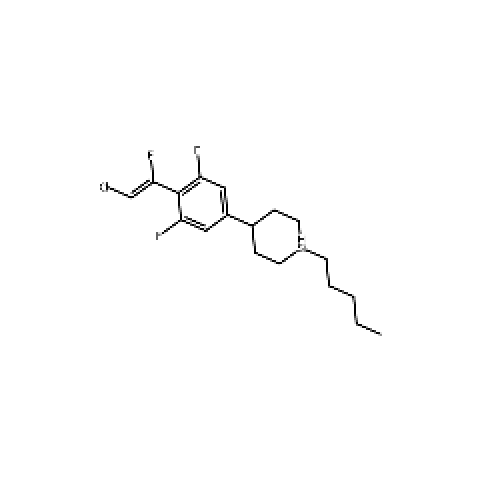 CCCCC[SiH]1CCC(c2cc(F)c(/C(F)=C/Cl)c(F)c2)CC1